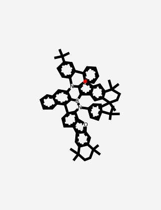 CC(C)(C)c1ccc(N2B3c4c(cc5ccccc5c4-c4ccc5c(oc6cc7c(cc65)C(C)(C)CCC7(C)C)c42)N(c2ccc(C(C)(C)C)cc2-c2ccccc2)c2sc4cc5c(cc4c23)C(C)(C)CCC5(C)C)cc1